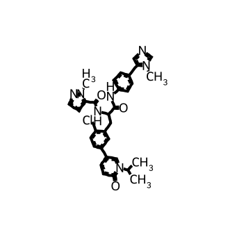 CC(C)n1cc(-c2ccc(Cl)c(CC(NC(=O)c3ccnn3C)C(=O)Nc3ccc(-c4cncn4C)cc3)c2)ccc1=O